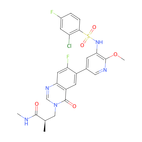 CNC(=O)[C@H](C)Cn1cnc2cc(F)c(-c3cnc(OC)c(NS(=O)(=O)c4ccc(F)cc4Cl)c3)cc2c1=O